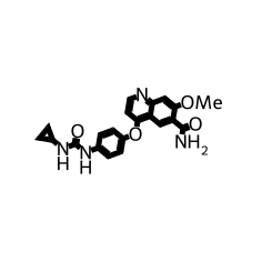 COc1cc2nccc(Oc3ccc(NC(=O)NC4CC4)cc3)c2cc1C(N)=O